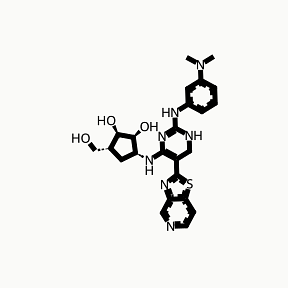 CN(C)c1cccc(NC2=NC(N[C@@H]3C[C@H](CO)[C@@H](O)[C@H]3O)=C(c3nc4cnccc4s3)CN2)c1